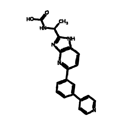 CC(NC(=O)O)c1nc2nc(-c3cccc(-c4ccncc4)c3)ccc2[nH]1